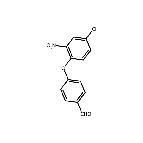 O=Cc1ccc(Oc2ccc(Cl)cc2[N+](=O)[O-])cc1